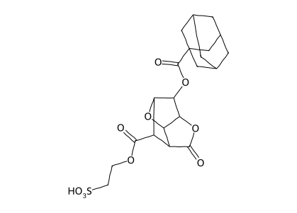 O=C1OC2C(OC(=O)C34CC5CC(CC(C5)C3)C4)C3OC2C1C3C(=O)OCCS(=O)(=O)O